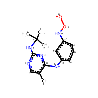 Cc1cnc(NC(C)(C)C)nc1Nc1cccc(NOO)c1